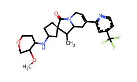 COC1COCCC1NC1CC[C@@]2(C1)C(=O)N1CC=C(c3cc(C(F)(F)F)ccn3)CC1C2C